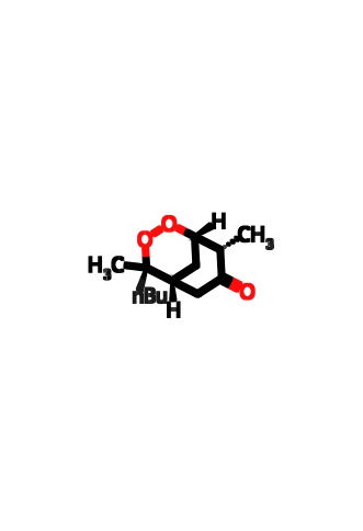 CCCC[C@@]1(C)OO[C@H]2C[C@@H]1CC(=O)[C@H]2C